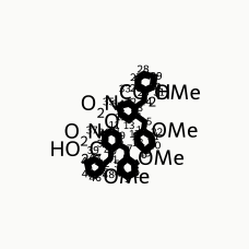 COc1ccccc1Cc1cc(Oc2cc(Cc3ccccc3OC)c(Cc3ccccc3OC)c(C(=O)O)c2[N+](=O)[O-])c([N+](=O)[O-])c(C(=O)O)c1Cc1ccccc1OC